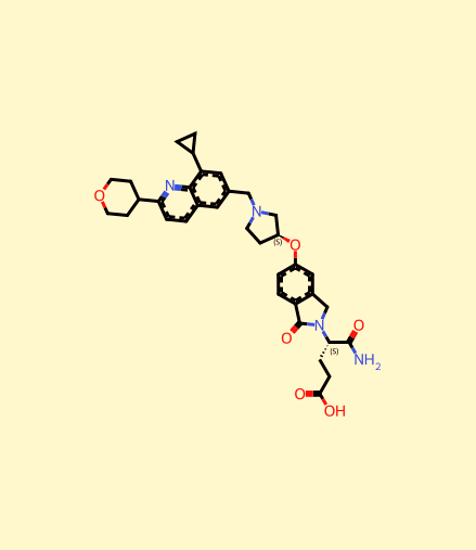 NC(=O)[C@H](CCC(=O)O)N1Cc2cc(O[C@H]3CCN(Cc4cc(C5CC5)c5nc(C6CCOCC6)ccc5c4)C3)ccc2C1=O